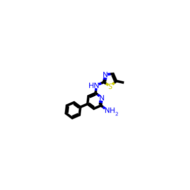 Cc1cnc(Nc2cc(-c3ccccc3)cc(N)n2)s1